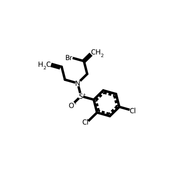 C=CCN(CC(=C)Br)[S+]([O-])c1ccc(Cl)cc1Cl